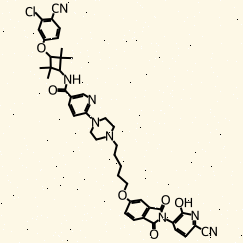 CC1(C)C(NC(=O)c2ccc(N3CCN(CCCCCOc4ccc5c(c4)C(=O)N(c4ccc(C#N)nc4O)C5=O)CC3)nc2)C(C)(C)C1Oc1ccc(C#N)c(Cl)c1